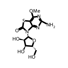 COc1nc(N)nc2c1sc(=O)n2[C@@H]1O[C@H](CO)[C@@H](O)[C@H]1O